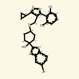 OC1(c2nc3cc(Br)ccc3s2)CCC(OCc2c(-c3c(Cl)cccc3Cl)noc2C2CC2)CC1